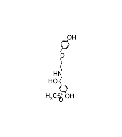 C[S+]([O-])c1cc(C(O)CNCCCCOCc2ccc(O)cc2)ccc1O